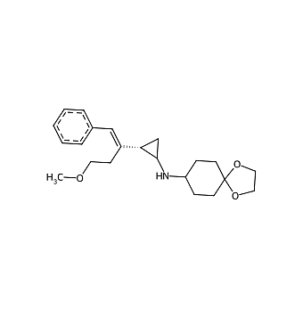 COCC/C(=C\c1ccccc1)[C@@H]1CC1NC1CCC2(CC1)OCCO2